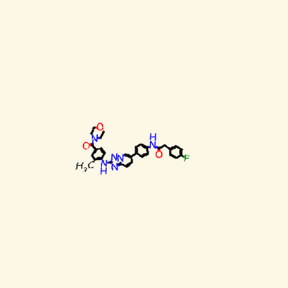 Cc1cc(C(=O)N2CCOCC2)ccc1Nc1nc2ccc(-c3ccc(NC(=O)Cc4ccc(F)cc4)cc3)cn2n1